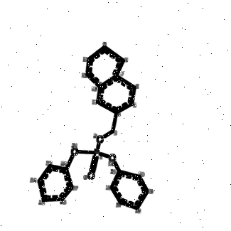 O=P(OCc1ccc2ccccc2c1)(Oc1ccccc1)Oc1ccccc1